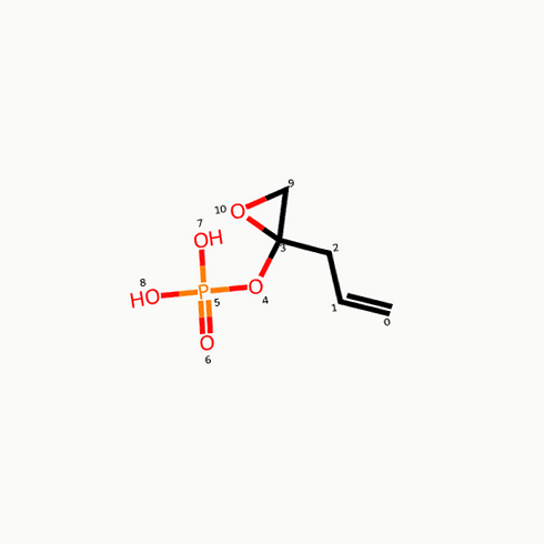 C=CCC1(OP(=O)(O)O)CO1